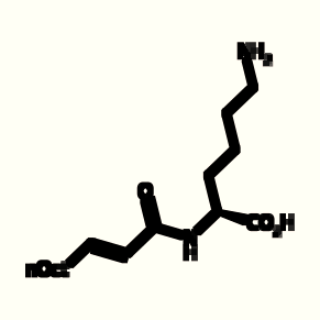 CCCCCCCCC=CC(=O)N[C@@H](CCCCN)C(=O)O